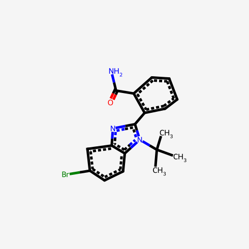 CC(C)(C)n1c(-c2ccccc2C(N)=O)nc2cc(Br)ccc21